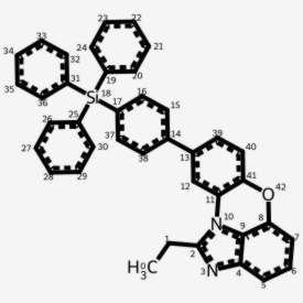 CCc1nc2cccc3c2n1-c1cc(-c2ccc([Si](c4ccccc4)(c4ccccc4)c4ccccc4)cc2)ccc1O3